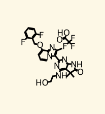 Cc1nc2c(OCc3c(F)cccc3F)cccn2c1-c1nc(NCCO)c2c(n1)NC(=O)C2(C)C.O=C(O)C(F)(F)F